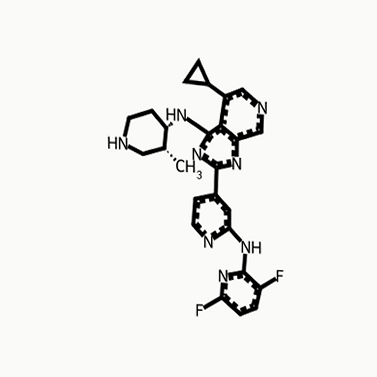 C[C@@H]1CNCC[C@@H]1Nc1nc(-c2ccnc(Nc3nc(F)ccc3F)c2)nc2cncc(C3CC3)c12